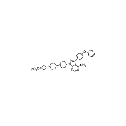 Nc1ncnc2c1c(-c1ccc(Oc3ccccc3)cc1)nn2C1CCN(C2CCN(C3CN(C(=O)O)C3)CC2)CC1